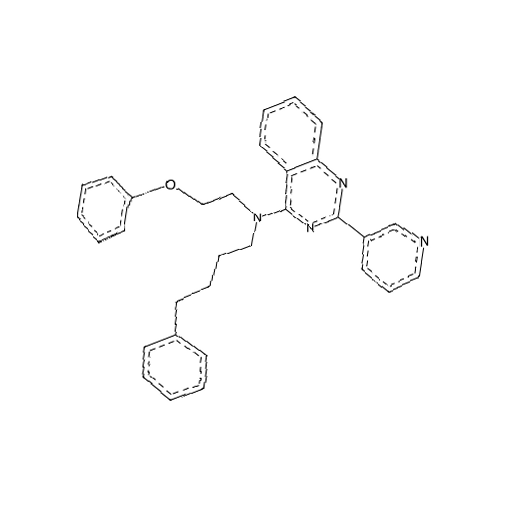 c1ccc(CCCCN(CCOc2ccccc2)c2nc(-c3cccnc3)nc3ccccc23)cc1